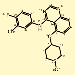 [O-][S+]1CCC(Oc2cccc3ncnc(Nc4ccc(F)c(Cl)c4)c23)CC1